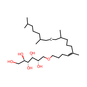 CC(=CCCCOC[C@H](O)[C@@H](O)[C@H](O)[C@H](O)CO)CCCC(C)CCCC(C)CCCC(C)C